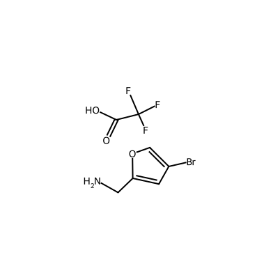 NCc1cc(Br)co1.O=C(O)C(F)(F)F